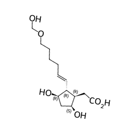 O=C(O)C[C@@H]1[C@@H](C=CCCCCOCO)[C@H](O)C[C@@H]1O